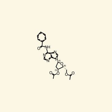 CC(=O)OC[C@H]1O[C@@H](n2cnc3c(NC(=O)c4ccccc4)ncnc32)C[C@@H]1OC(C)=O